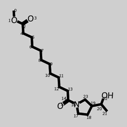 COC(=O)CCCCCCCCCCC(=O)N1CCC(C(C)O)C1